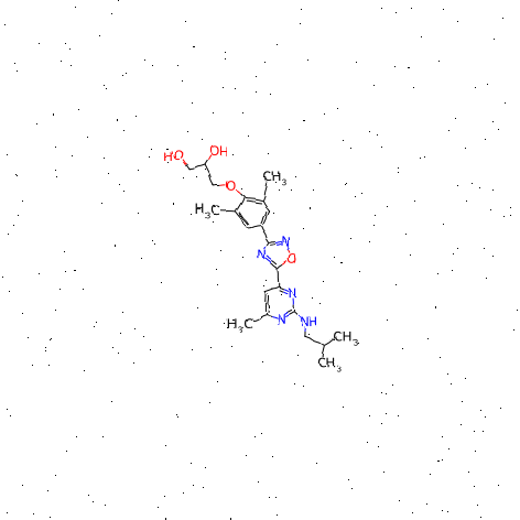 Cc1cc(-c2nc(-c3cc(C)c(OCC(O)CO)c(C)c3)no2)nc(NCC(C)C)n1